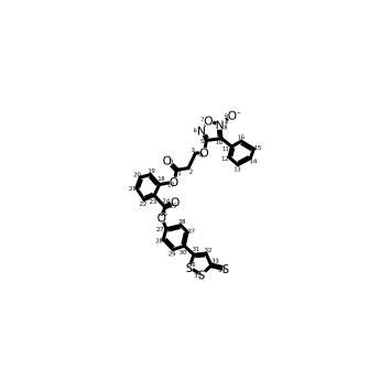 O=C(CCOc1no[n+]([O-])c1-c1ccccc1)Oc1ccccc1C(=O)Oc1ccc(-c2cc(=S)ss2)cc1